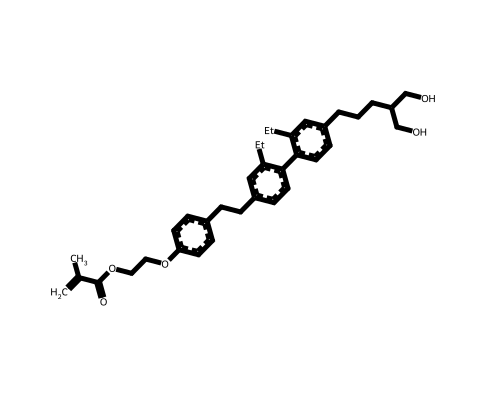 C=C(C)C(=O)OCCOc1ccc(CCc2ccc(-c3ccc(CCCC(CO)CO)cc3CC)c(CC)c2)cc1